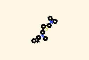 CC1(C)c2cc(N(c3ccccc3)c3ccc(C4=CC=CC5c6cc(-n7c8c(c9c7CCC=C9)CCC=C8)ccc6SC45)cc3)ccc2C2C=CC=CC21